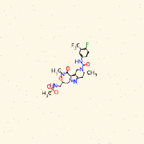 C[C@@H]1Cc2nn3c(c2CN1C(=O)Nc1ccc(F)c(C(F)(F)F)c1)C(=O)N(C)O[C@H](CNS(C)(=O)=O)C3